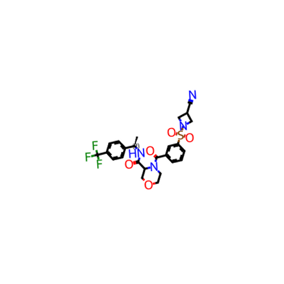 C[C@@H](NC(=O)C1COCCN1C(=O)c1cccc(S(=O)(=O)N2CC(C#N)C2)c1)c1ccc(C(F)(F)F)cc1